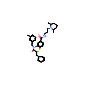 Cc1cccc(CN2C(=O)C(=Cc3ccccc3)Sc3ccc(C(=O)NCCCN4C(C)CCCC4C)cc32)c1